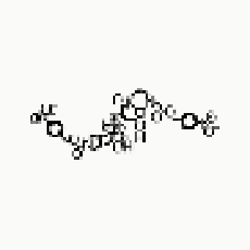 CC(O)C1(SC2CCN(C(=O)OCc3ccc([N+](=O)[O-])cc3)C2)C(=O)N2C(C(=O)O)=C(C(=O)N3CCCN(CC(=O)OCc4ccc([N+](=O)[O-])cc4)CC3)[C@@H](C)[C@H]21